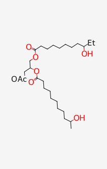 CCC(O)CCCCCCCC(=O)OCC(COC(C)=O)OC(=O)CCCCCCCCC(C)O